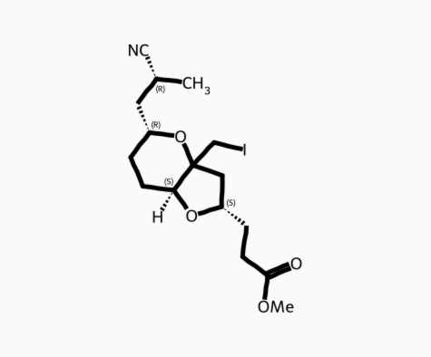 COC(=O)CC[C@H]1CC2(CI)O[C@@H](C[C@@H](C)C#N)CC[C@@H]2O1